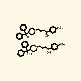 CC(C)(C)c1ccc(C(O)CCCN2CCC(C(O)(c3ccccc3)c3ccccc3)CC2)cc1.CC(C)(C)c1ccc([C@H](O)CCCN2CCC(C(O)(c3ccccc3)c3ccccc3)CC2)cc1